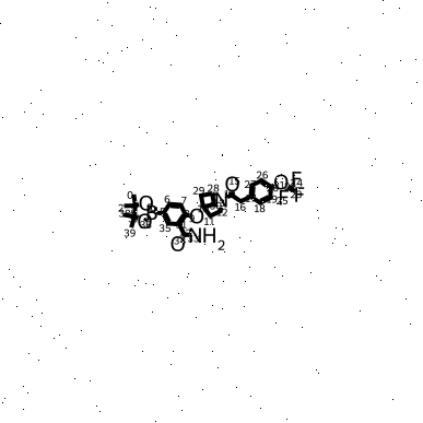 CC1(C)OB(c2ccc(OC34CCN(C(=O)Cc5ccc(OC(F)(F)F)cc5)C(C3)C4)c(C(N)=O)c2)OC1(C)C